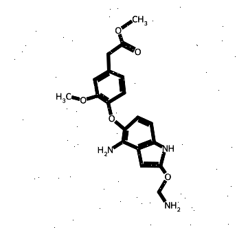 COC(=O)Cc1ccc(Oc2ccc3[nH]c(OCN)cc3c2N)c(OC)c1